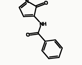 O=C1N=CC=C1NC(=O)c1ccccc1